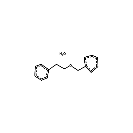 O.c1ccc(CCOCc2ccccc2)cc1